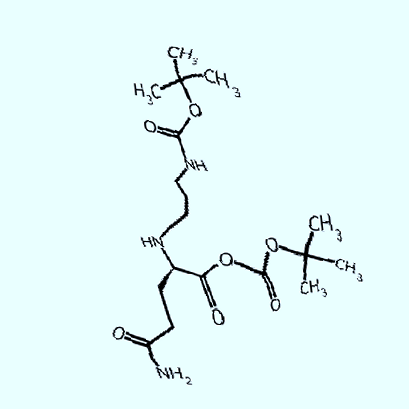 CC(C)(C)OC(=O)NCCN[C@H](CCC(N)=O)C(=O)OC(=O)OC(C)(C)C